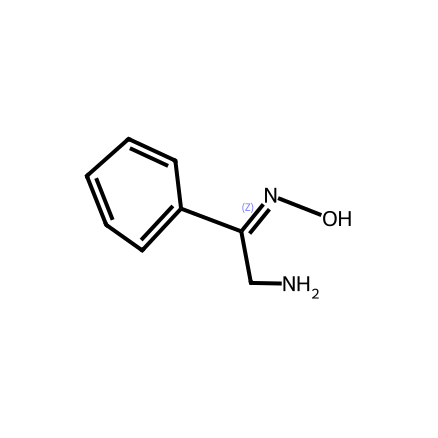 NC/C(=N\O)c1ccccc1